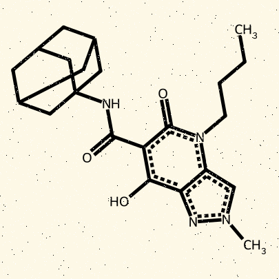 CCCCn1c(=O)c(C(=O)NC23CC4CC(CC(C4)C2)C3)c(O)c2nn(C)cc21